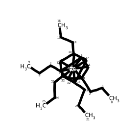 CCC[C]12[CH]3[CH]4[C]5(CCC)[CH]1[Fe]34251678[CH]2[C]1(CCC)[CH]6[C]7(CCC)[C]28CCC